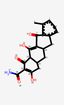 Cc1cccc2c1C(=O)C1=C(O)C3C(=O)C(C(N)=O)=C(O)CC3CC1C2